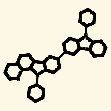 c1ccc(-n2c3ccccc3c3cc(-c4ccc5c(c4)c4ccc6cccnc6c4n5-c4ccccc4)ccc32)cc1